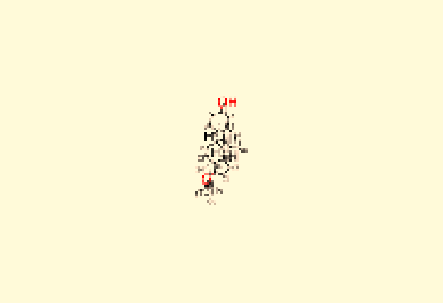 C[C@@H]1CC2=C[C@H](O)CC[C@@H]2[C@H]2CC[C@]3(C)[C@@H](O[Si](C)(C)C)CC[C@H]3[C@@H]21